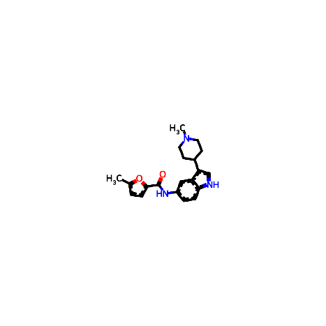 Cc1ccc(C(=O)Nc2ccc3[nH]cc(C4CCN(C)CC4)c3c2)o1